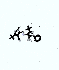 Cn1nc(C(C)(C)C)c(C#N)c1/N=N/c1c(C(C)(C)C)nn(-c2ccccc2)c1N